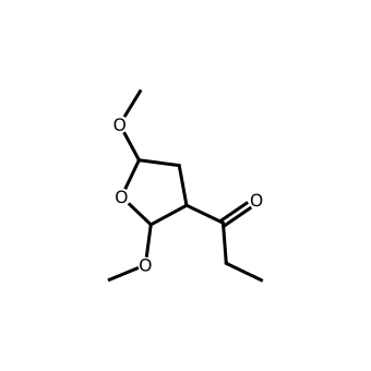 CCC(=O)C1CC(OC)OC1OC